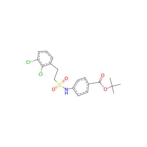 CC(C)(C)OC(=O)c1ccc(NS(=O)(=O)CCc2cccc(Cl)c2Cl)cc1